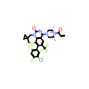 C=CC(=O)N1[C@H](C)CN(c2nc(=O)n3c4c(c(-c5cc(Cl)c(F)cc5F)c(C(F)(F)F)cc24)SCC2(CC2)C3)C[C@@H]1C